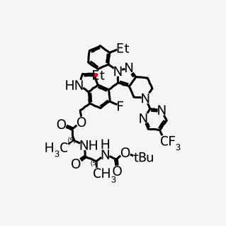 CCc1cccc(CC)c1-n1nc2c(c1-c1c(F)cc(COC(=O)[C@H](C)NC(=O)[C@H](C)NC(=O)OC(C)(C)C)c3[nH]ccc13)CN(c1ncc(C(F)(F)F)cn1)CC2